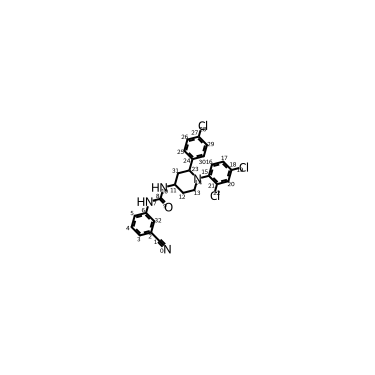 N#Cc1cccc(NC(=O)NC2CCN(c3ccc(Cl)cc3Cl)C(c3ccc(Cl)cc3)C2)c1